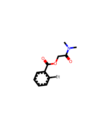 CCc1ccccc1C(=O)OCC(=O)N(C)C